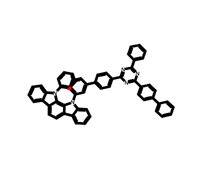 c1ccc(-c2ccc(-c3nc(-c4ccccc4)nc(-c4ccc(-c5cccc(-n6c7ccccc7c7ccc8c9ccccc9n(-c9ccccc9)c8c76)c5)cc4)n3)cc2)cc1